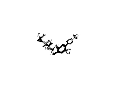 Cc1c(Nc2ncc3cc(Cl)c(C4CCN(C5COC5)CC4)cc3n2)cnn1C1CC1(F)F